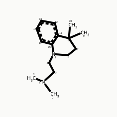 CN(C)CCN1CCC(C)(C)c2cc[c]cc21